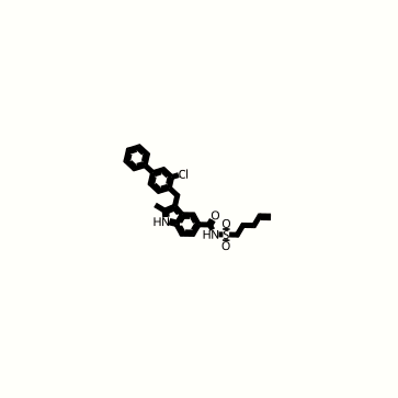 C=CCCCS(=O)(=O)NC(=O)c1ccc2[nH]c(C)c(Cc3ccc(-c4ccccc4)cc3Cl)c2c1